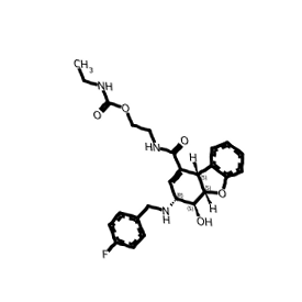 CCNC(=O)OCCNC(=O)C1=C[C@@H](NCc2ccc(F)cc2)[C@H](O)[C@H]2Oc3ccccc3[C@@H]12